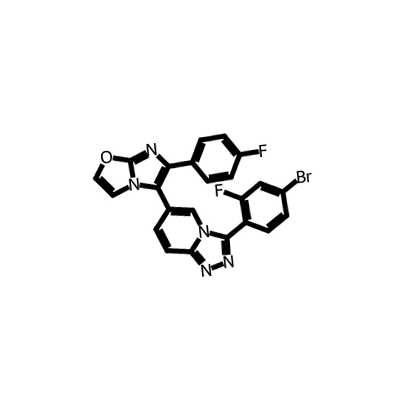 Fc1ccc(-c2nc3occn3c2-c2ccc3nnc(-c4ccc(Br)cc4F)n3c2)cc1